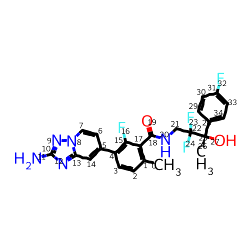 Cc1ccc(-c2ccn3nc(N)nc3c2)c(F)c1C(=O)NCC(F)(F)[C@@](C)(O)c1ccc(F)cc1